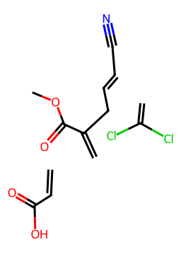 C=C(CC=CC#N)C(=O)OC.C=C(Cl)Cl.C=CC(=O)O